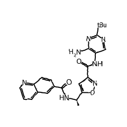 C[C@@H](NC(=O)c1ccc2ncccc2c1)c1cc(C(=O)Nc2cnc(C(C)(C)C)nc2N)no1